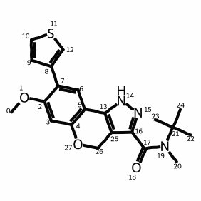 COc1cc2c(cc1-c1ccsc1)-c1[nH]nc(C(=O)N(C)C(C)(C)C)c1CO2